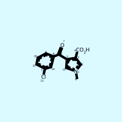 Cn1cc(C(=O)O)c(C(=O)c2cccc(Cl)c2)c1